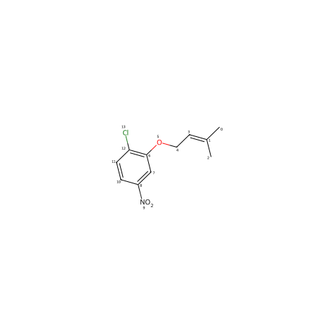 CC(C)=CCOc1cc([N+](=O)[O-])ccc1Cl